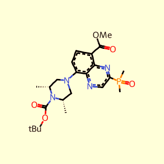 COC(=O)c1ccc(N2C[C@@H](C)N(C(=O)OC(C)(C)C)[C@@H](C)C2)c2ncc(P(C)(C)=O)nc12